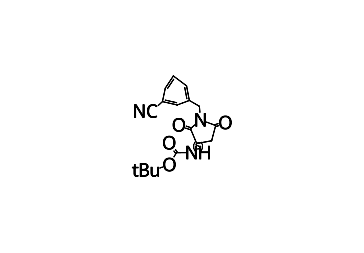 CC(C)(C)OC(=O)N[C@H]1CC(=O)N(Cc2cccc(C#N)c2)C1=O